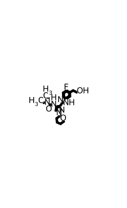 CCN(CC)C(=O)Nc1cn(C2CCCCO2)nc1-c1nc2cc(F)c(CCO)cc2[nH]1